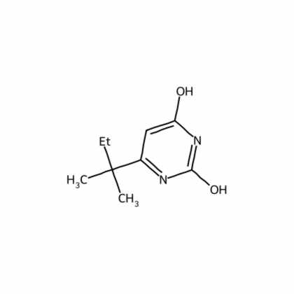 CCC(C)(C)c1cc(O)nc(O)n1